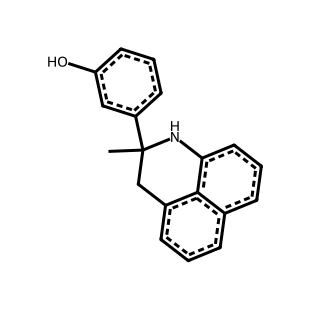 CC1(c2cccc(O)c2)Cc2cccc3cccc(c23)N1